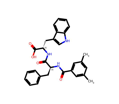 Cc1cc(C)cc(C(=O)N[C@@H](Cc2ccccc2)C(=O)N[C@@H](Cc2c[nH]c3ccccc23)C(=O)O)c1